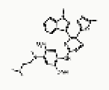 COc1cc(N(C)CCN(C)C)c([N+](=O)[O-])cc1Nc1ncc(-c2nnc(C)o2)c(-c2cn(C)c3ccccc23)n1